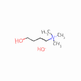 C[N+](C)(C)CCCCO.[OH-]